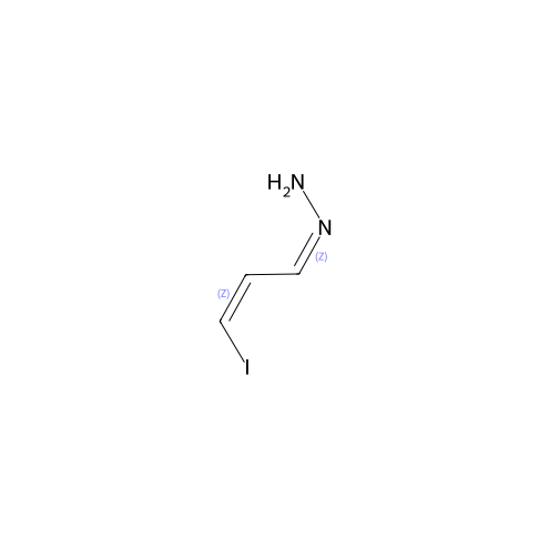 N/N=C\C=C/I